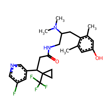 Cc1cc(O)cc(C)c1CC(CNC(=O)CC(c1cncc(F)c1)C1(C(F)(F)F)CC1)N(C)C